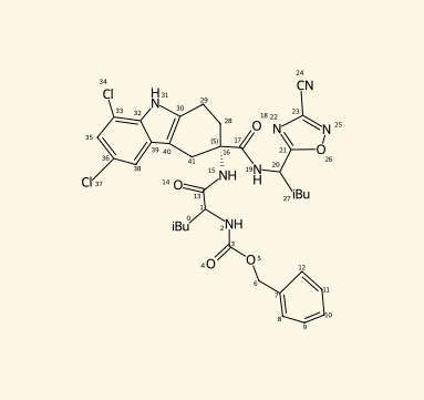 CCC(C)C(NC(=O)OCc1ccccc1)C(=O)N[C@@]1(C(=O)NC(c2nc(C#N)no2)C(C)CC)CCc2[nH]c3c(Cl)cc(Cl)cc3c2C1